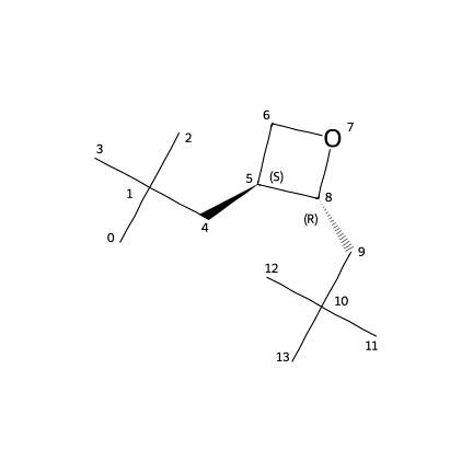 CC(C)(C)C[C@H]1CO[C@@H]1CC(C)(C)C